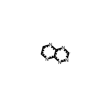 [c]1nnc2nccnc2n1